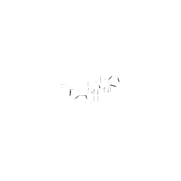 O=C(NNC(=O)c1ccc(Br)s1)Nc1c(F)cccc1F